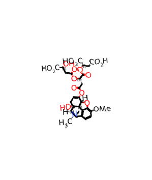 COc1ccc2c3c1O[C@@H]1C(OC(=O)C[C@H](OC(=O)C[C@H](O)C(=O)O)C(=O)O[C@@H](CC(=O)O)C(=O)O)=CC[C@]4(O)[C@H](C2)N(C)CC[C@@]314